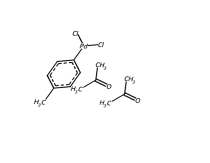 CC(C)=O.CC(C)=O.Cc1cc[c]([Pd]([Cl])[Cl])cc1